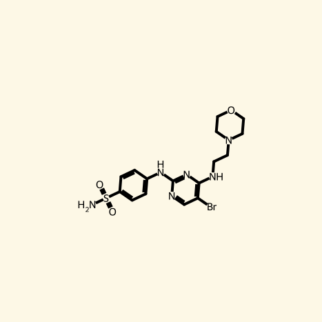 NS(=O)(=O)c1ccc(Nc2ncc(Br)c(NCCN3CCOCC3)n2)cc1